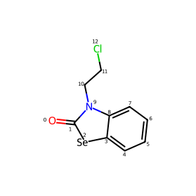 O=c1[se]c2ccccc2n1CCCl